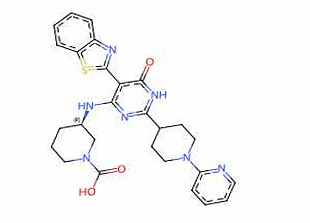 O=C(O)N1CCC[C@@H](Nc2nc(C3CCN(c4ccccn4)CC3)[nH]c(=O)c2-c2nc3ccccc3s2)C1